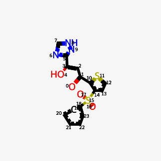 O=C(C=C(O)c1nc[nH]n1)c1sccc1S(=O)(=O)c1ccccc1